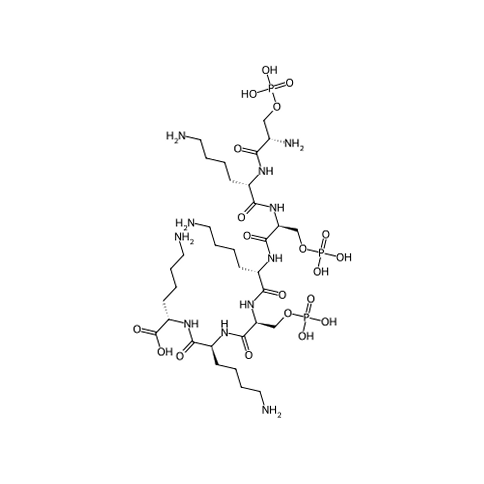 NCCCC[C@H](NC(=O)[C@H](CCCCN)NC(=O)[C@H](COP(=O)(O)O)NC(=O)[C@H](CCCCN)NC(=O)[C@H](COP(=O)(O)O)NC(=O)[C@H](CCCCN)NC(=O)[C@@H](N)COP(=O)(O)O)C(=O)O